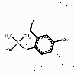 CC(C)(C)c1ccc(O[Si](C)(C)C(C)(C)C)c(CBr)c1